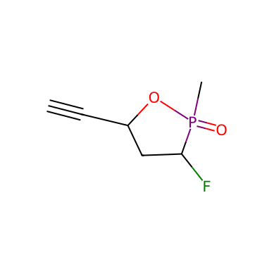 C#CC1CC(F)P(C)(=O)O1